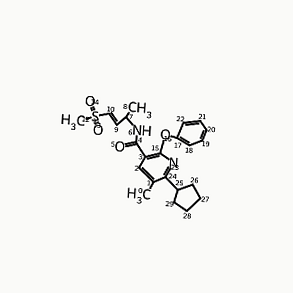 Cc1cc(C(=O)NC(C)/C=C/S(C)(=O)=O)c(Oc2ccccc2)nc1C1CCCC1